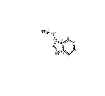 N#CSn1cnc2ccccc21